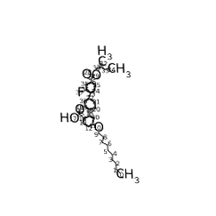 CCCCCCCCCCOc1ccc(C(=O)O)c(-c2ccc(-c3ccc(C(=O)OC[C@@H](C)CC)cc3F)cc2)c1